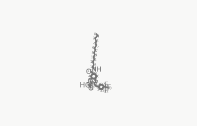 CCCCCCCCCCCCCCCNC(=O)c1ccc(CN(Cc2ccc(C(F)(F)F)cc2)C(=O)C(=O)O)cc1